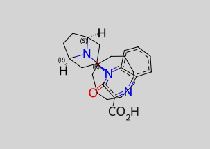 O=C(O)c1nc2ccccc2n([C@H]2C[C@H]3CC[C@@H](C2)N3C2CCCCCCCC2)c1=O